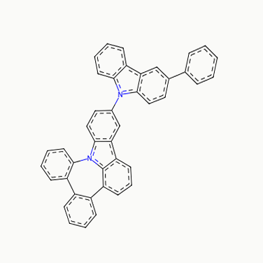 c1ccc(-c2ccc3c(c2)c2ccccc2n3-c2ccc3c(c2)c2cccc4c2n3-c2ccccc2-c2ccccc2-4)cc1